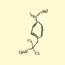 CC(C)(C)Nc1ccc(CC(Cl)(Cl)C=O)cc1